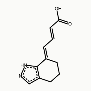 O=C(O)C=CC=C1CCCc2cn[nH]c21